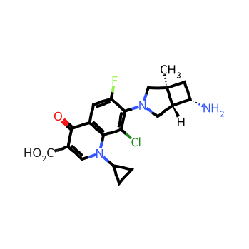 C[C@]12C[C@H](N)[C@@H]1CN(c1c(F)cc3c(=O)c(C(=O)O)cn(C4CC4)c3c1Cl)C2